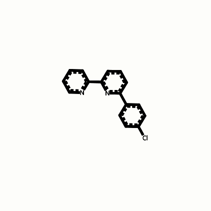 Clc1ccc(-c2cccc(-c3ccccn3)n2)cc1